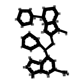 Cn1c(C[C@H](c2ccccc2)c2cc(N)nc3[nH]nnc23)nc2c(-c3ccccc3)cccc21